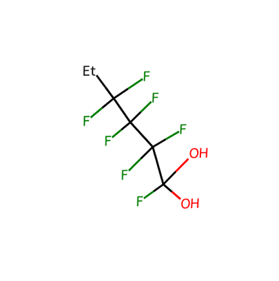 CCC(F)(F)C(F)(F)C(F)(F)C(O)(O)F